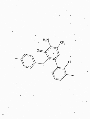 Cc1ccc(Cn2c(-c3cccc(C)c3Cl)cc(C(F)(F)F)c(N)c2=O)cc1